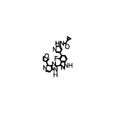 O=C(Nc1cncc(-c2ccc3[nH]nc(-c4nc5c(-c6ccoc6)nccc5[nH]4)c3c2F)c1)C1CC1